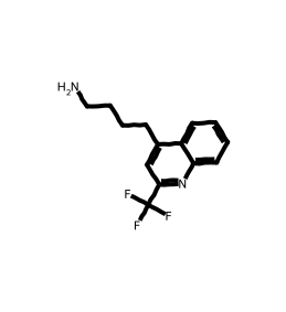 NCCCCc1cc(C(F)(F)F)nc2ccccc12